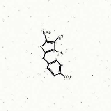 CNc1sc(Cc2ccc(C(=O)O)cc2)c(C)c1C#N